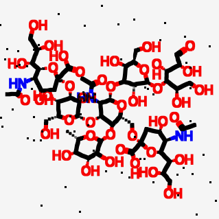 CC(=O)N[C@H]1[C@H](OC2[C@@H](O)[C@H](O[C@@H]([C@H](O)[C@@H](O)C=O)[C@H](O)CO)O[C@H](CO)[C@@H]2O)O[C@H](CO[C@]2(C(=O)O)C[C@H](O)[C@@H](NC(C)=O)[C@H]([C@H](O)[C@H](O)CO)O2)[C@@H](O[C@@H]2O[C@@H](C)[C@@H](O)[C@@H](O)C2O)[C@@H]1O[C@@H]1O[C@H](CO)[C@H](O)[C@H](O[C@]2(C(=O)O)C[C@H](O)[C@@H](NC(C)=O)[C@H]([C@H](O)[C@H](O)CO)O2)[C@H]1O